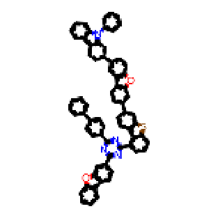 c1ccc(-c2ccc(-c3nc(-c4ccc5c(c4)oc4ccccc45)nc(-c4cccc5sc6cc(-c7ccc8c(c7)oc7ccc(-c9ccc%10c%11ccccc%11n(-c%11ccccc%11)c%10c9)cc78)ccc6c45)n3)cc2)cc1